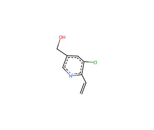 C=Cc1ncc(CO)cc1Cl